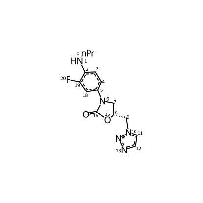 CCCNc1ccc(N2C[C@H](Cn3ccnn3)OC2=O)cc1F